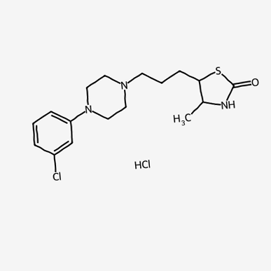 CC1NC(=O)SC1CCCN1CCN(c2cccc(Cl)c2)CC1.Cl